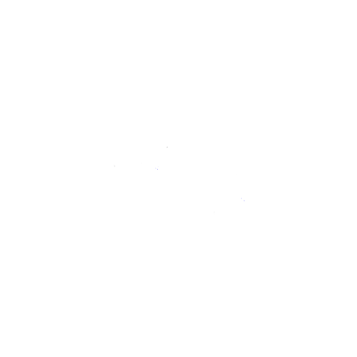 Cc1ncsc1-c1ccc([C@@H](C)NC(=O)OC(C)(C)C)cc1